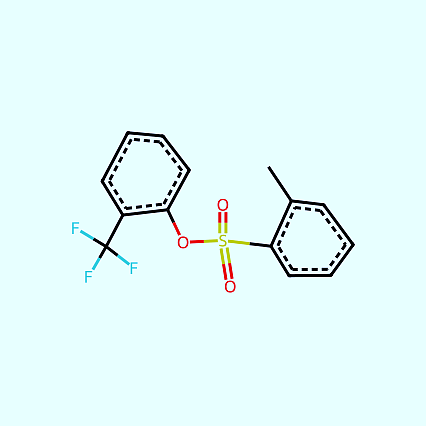 Cc1ccccc1S(=O)(=O)Oc1ccccc1C(F)(F)F